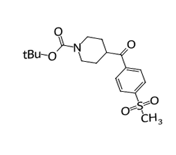 CC(C)(C)OC(=O)N1CCC(C(=O)c2ccc(S(C)(=O)=O)cc2)CC1